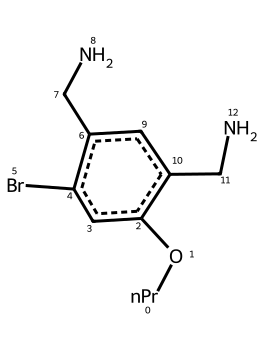 CCCOc1cc(Br)c(CN)cc1CN